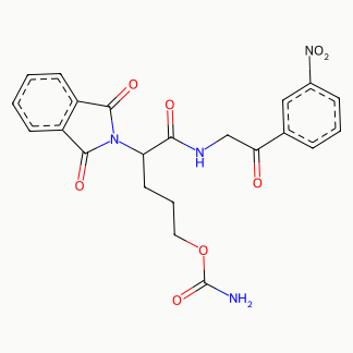 NC(=O)OCCCC(C(=O)NCC(=O)c1cccc([N+](=O)[O-])c1)N1C(=O)c2ccccc2C1=O